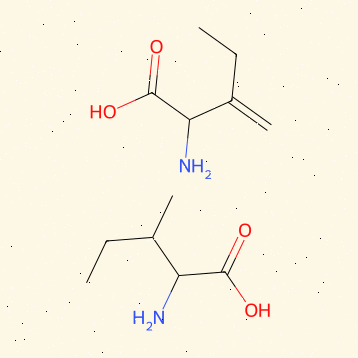 C=C(CC)C(N)C(=O)O.CCC(C)C(N)C(=O)O